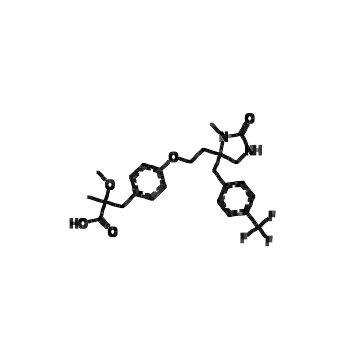 COC(C)(Cc1ccc(OCCC2(Cc3ccc(C(F)(F)F)cc3)CNC(=O)N2C)cc1)C(=O)O